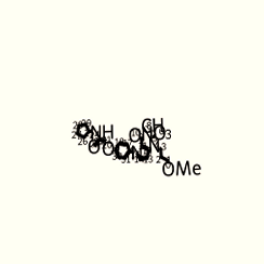 COCCCn1c(=O)n(C)c(=O)c2c1ccn2-c1ccc(OCC(=O)NC2CCCC2)cc1